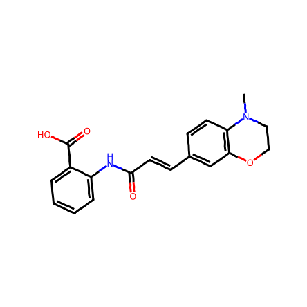 CN1CCOc2cc(/C=C/C(=O)Nc3ccccc3C(=O)O)ccc21